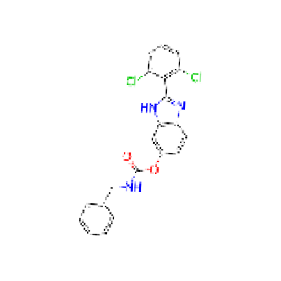 O=C(NCc1ccccc1)Oc1ccc2nc(-c3c(Cl)cccc3Cl)[nH]c2c1